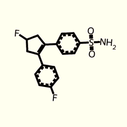 NS(=O)(=O)c1ccc(C2=C(c3ccc(F)cc3)CC(F)C2)cc1